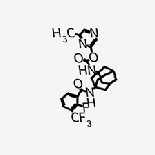 Cc1cncc(OC(=O)NC23CC4CC(C2)CC(NC(=O)c2cccc(C(F)(F)F)c2F)(C4)C3)n1